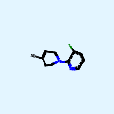 N#CC1=CCN(c2ncccc2F)CC1